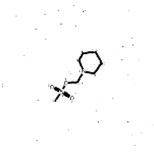 CS(=O)(=O)OCN1CCCCC1